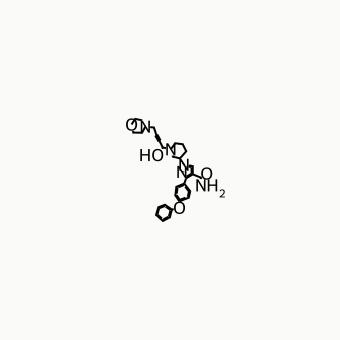 NC(=O)c1cn([C@@H]2CCCN(C(O)C#CCN3CCOCC3)C2)nc1-c1ccc(Oc2ccccc2)cc1